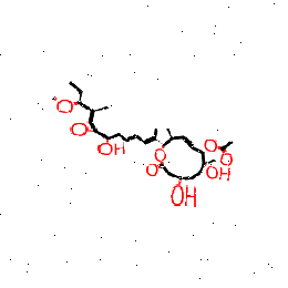 CC[C@H](OC)[C@@H](C)[C@H]1O[C@@H]1[C@H](O)C/C=C/C=C(\C)[C@H]1OC(=O)C[C@H](O)CC[C@@](C)(O)[C@@H](OC(C)=O)/C=C/[C@@H]1C